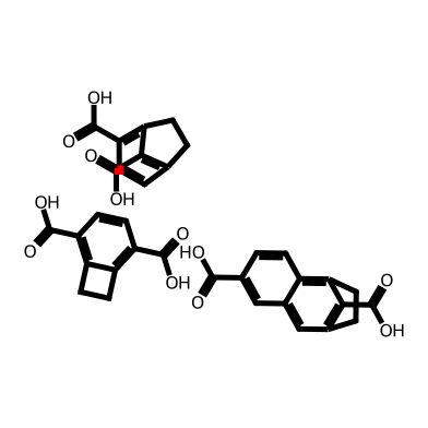 O=C(O)c1ccc(C(=O)O)c2c1CC2.O=C(O)c1ccc2c(C(=O)O)c1CC2.O=C(O)c1ccc2c3c(C(=O)O)c(cc2c1)CC3